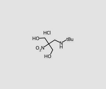 CC(C)(C)NCC(CO)(CO)[N+](=O)[O-].Cl